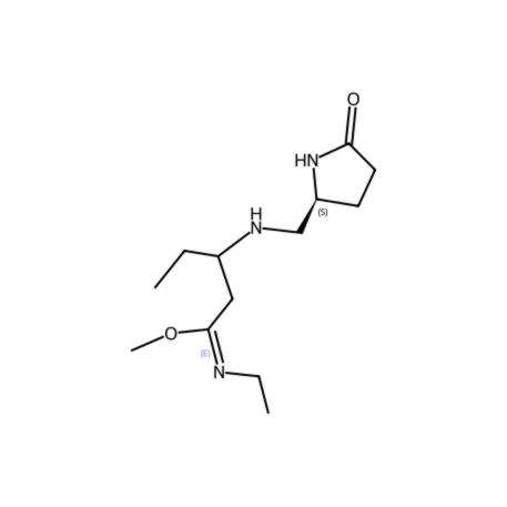 CC/N=C(\CC(CC)NC[C@@H]1CCC(=O)N1)OC